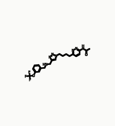 CC(=O)Nc1ccc(CCCCn2cc(CNCc3cccc(OC(F)(F)F)c3)nn2)nn1